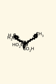 Cc1ccc(CCCCCCCNC(=O)C(OCCCCCc2ccc(C)c(C)c2)C(OCC(=O)O)C(=O)O)cc1